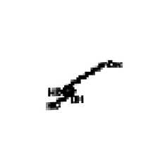 CCCCCCCCCCCCCCCCCCCc1cc(O)c(CCO)c(O)c1